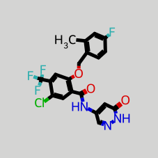 Cc1cc(F)ccc1COc1cc(C(F)(F)F)c(Cl)cc1C(=O)Nc1cn[nH]c(=O)c1